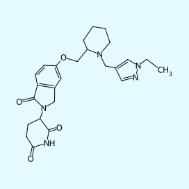 CCn1cc(CN2CCCCC2COc2ccc3c(c2)CN(C2CCC(=O)NC2=O)C3=O)cn1